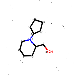 OCC1CCCCN1C1CCCC1